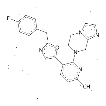 Cc1ccc(-c2cnc(Cc3ccc(F)cc3)o2)c(N2CCn3ccnc3C2)n1